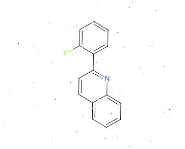 Fc1ccccc1-c1ccc2ccccc2n1